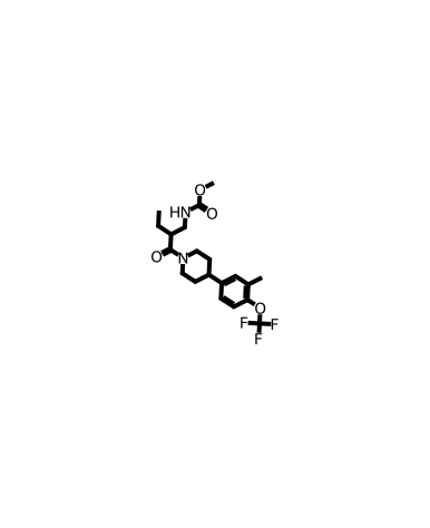 CCC(CNC(=O)OC)C(=O)N1CCC(c2ccc(OC(F)(F)F)c(C)c2)CC1